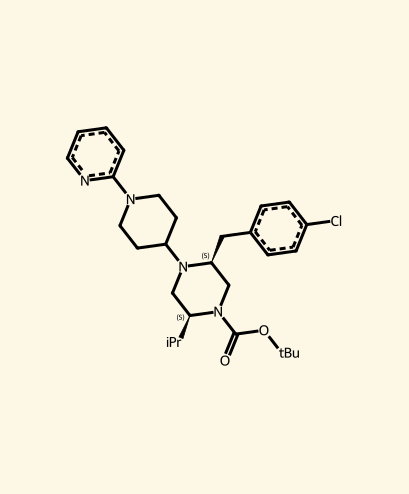 CC(C)[C@H]1CN(C2CCN(c3ccccn3)CC2)[C@@H](Cc2ccc(Cl)cc2)CN1C(=O)OC(C)(C)C